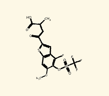 COc1cc2sc(C(=O)CC(C)C(=O)O)cc2c(F)c1OS(=O)(=O)C(F)(F)F